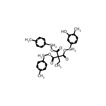 CCC(C(=O)O[SiH2]c1ccc(C)cc1)(C(=O)O[SiH2]c1ccc(C)cc1)C(=O)O[SiH2]c1ccc(C)c(O)c1